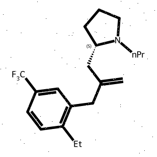 C=C(Cc1cc(C(F)(F)F)ccc1CC)C[C@@H]1CCCN1CCC